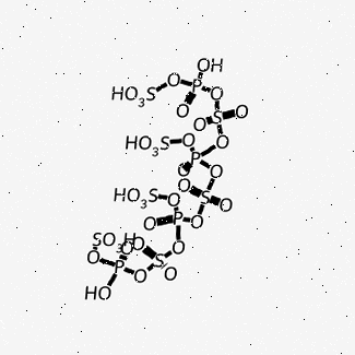 O=P(O)(OS(=O)(=O)O)OS(=O)(=O)OP(=O)(OS(=O)(=O)O)OS(=O)(=O)OP(=O)(OS(=O)(=O)O)OS(=O)(=O)OP(=O)(O)OS(=O)(=O)O